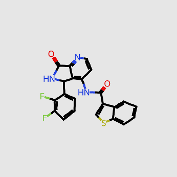 O=C1NC(c2cccc(F)c2F)c2c(NC(=O)c3csc4ccccc34)ccnc21